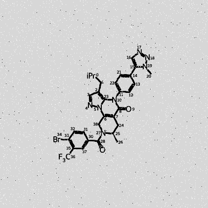 CC(C)Cc1cnn2c3c(c(=O)n(-c4ccc(-c5cnnn5C)cc4)c12)C[C@@H](C)N(C(=O)c1ccc(Br)c(C(F)(F)F)c1)C3